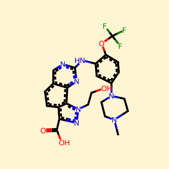 CN1CCN(c2ccc(OC(F)(F)F)c(Nc3ncc4ccc5c(C(=O)O)nn(CCO)c5c4n3)c2)CC1